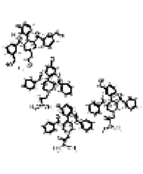 CN(C)C(=O)CN1C[C@H](C(=O)c2ccccc2)C(c2cc(Cl)ccc2Cl)[C@@H](C(=O)c2ccccc2)C1.CN(C)C(=O)CN1C[C@H](C(=O)c2ccccc2)C(c2ccc(Cl)cc2Cl)[C@@H](C(=O)c2ccccc2)C1.CN(C)C(=O)CN1C[C@H](C(=O)c2ccccc2)C(c2cccc(CO)c2)[C@@H](C(=O)c2ccccc2)C1.COCCN1C[C@H](C(=O)c2cccc(CO)c2)C(c2cccc(F)c2C)[C@@H](C(=O)c2cccc(CO)c2)C1